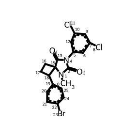 CN1C(=O)N(c2cc(Cl)cc(Cl)c2)C(=O)C12CCC2c1ccc(Br)cc1